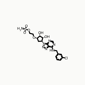 NS(=O)(=O)OCCO[C@@H]1C[C@H](n2nnc3c(NCc4cccc(Cl)c4)ncnc32)[C@@H](O)[C@H]1O